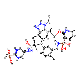 CCC1CN(Cc2cc(C(c3ccc4c(nnn4CC)c3C)C(C)(C)C(=O)Nc3cnc(S(C)(=O)=O)nc3)ccc2C)S(O)(O)c2cccnc2O1